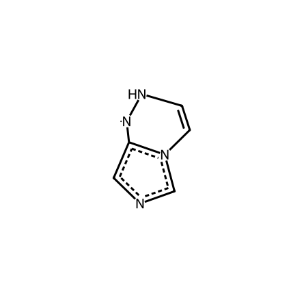 C1=Cn2cncc2[N]N1